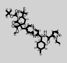 CCn1nccc1C(=O)N[C@H](c1cn2ncc(CC3(C(=O)OC)CCC(C(F)(F)F)N(C(=O)OC(C)(C)C)C3=O)cc2n1)C1CCC(C)CC1